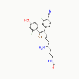 N#Cc1ccc(C(/C=C/CC(N)CCCNC=O)=C(/S)c2ccc(O)cc2F)cc1F